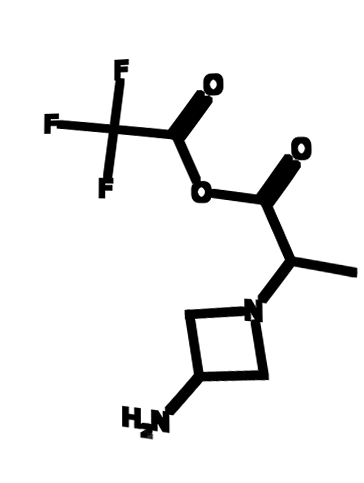 CC(C(=O)OC(=O)C(F)(F)F)N1CC(N)C1